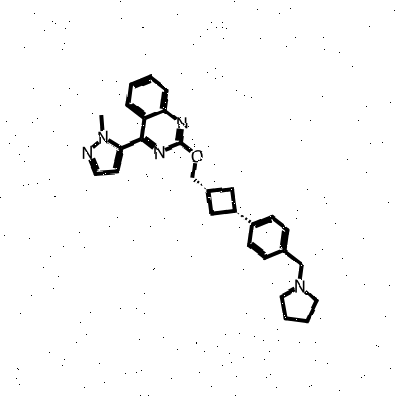 Cn1nccc1-c1nc(OC[C@H]2C[C@@H](c3ccc(CN4CCCC4)cc3)C2)nc2ccccc12